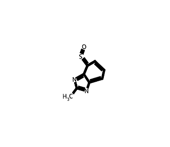 CC1=NC2=CC=CC(=S=O)C2=N1